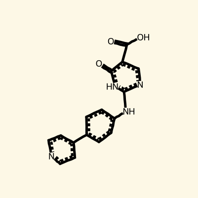 O=C(O)c1cnc(Nc2ccc(-c3ccncc3)cc2)[nH]c1=O